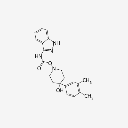 Cc1ccc(C2(O)CCN(OC(=O)Nc3n[nH]c4ccccc34)CC2)cc1C